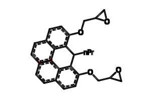 CCCC(c1c(OCC2CO2)ccc2ccccc12)c1c(OCC2CO2)ccc2ccccc12